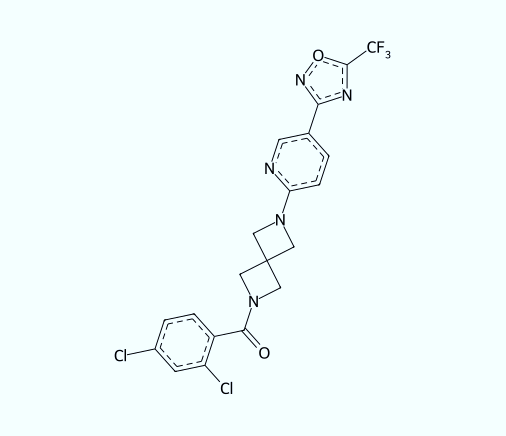 O=C(c1ccc(Cl)cc1Cl)N1CC2(C1)CN(c1ccc(-c3noc(C(F)(F)F)n3)cn1)C2